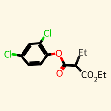 CCOC(=O)C(CC)C(=O)Oc1ccc(Cl)cc1Cl